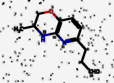 CC1COc2ccc(CCC=O)nc2N1